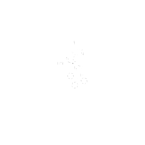 C=CCOC(=O)NCCC(NC(=O)C(C(C)CC)N(C)C(=O)C1CCCN1)C(=O)NOc1ccccc1C(O)(c1ccccc1)c1ccc(C2CCCCCCCCCC2)cc1